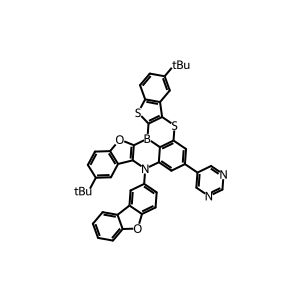 CC(C)(C)c1ccc2oc3c(c2c1)N(c1ccc2oc4ccccc4c2c1)c1cc(-c2cncnc2)cc2c1B3c1sc3ccc(C(C)(C)C)cc3c1S2